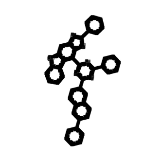 c1ccc(-c2ccc3cc(-c4nc(-c5ccccc5)nc(-c5c6sc(-c7ccccc7)nc6cc6oc7ccccc7c56)n4)ccc3c2)cc1